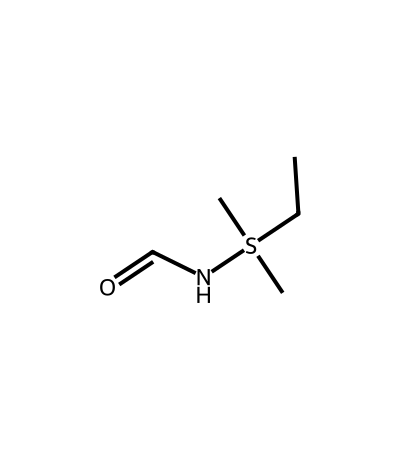 CCS(C)(C)NC=O